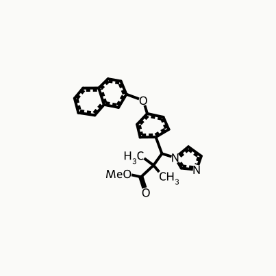 COC(=O)C(C)(C)C(c1ccc(Oc2ccc3ccccc3c2)cc1)n1ccnc1